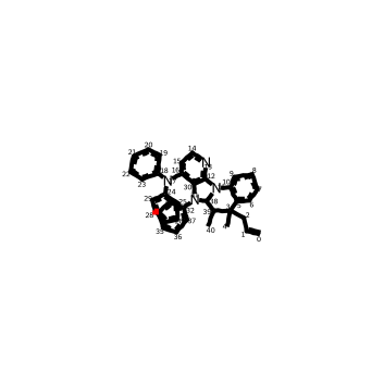 C=CCC1(C)c2ccccc2N2c3nccc(N(c4ccccc4)c4ccccc4)c3N(c3ccccc3)C2C1C